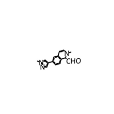 CN1C=Cc2cc(-c3cnn(C)c3)ccc2C1C=O